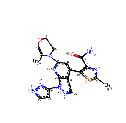 CC1=COCCN1c1cc(-c2sc(C)nc2C(N)=O)c2cnn(-c3cc[nH]n3)c2n1